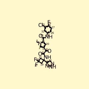 Cn1cc(C(=O)C(=O)NC2(c3cn[nH]n3)CC(F)(F)C2)cc1C(=O)Nc1ccc(F)c(Cl)c1